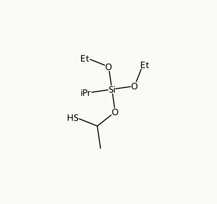 CCO[Si](OCC)(OC(C)S)C(C)C